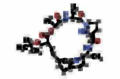 CCC(C)(C)OCC1/C=C/c2ccc3ccc(nc3c2)[C@@H](C)NC(=O)[C@@H]2CCCN(N2)C(=O)[C@H](C)NC(=O)[C@H](C(C)C)OC1=O